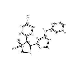 O=S1(=O)NCC(c2cccc(Oc3cnccn3)c2)N1c1ccc(Cl)cc1